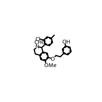 COc1cc2c(cc1OCCc1cccc(O)c1)C(c1ccc(C)cc1Cl)N(C=O)CC2